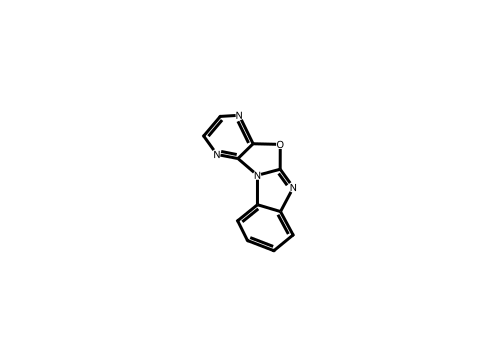 c1ccc2c(c1)nc1oc3nccnc3n12